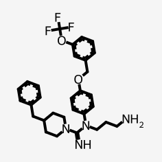 N=C(N1CCC(Cc2ccccc2)CC1)N(CCCN)c1ccc(OCc2cccc(OC(F)(F)F)c2)cc1